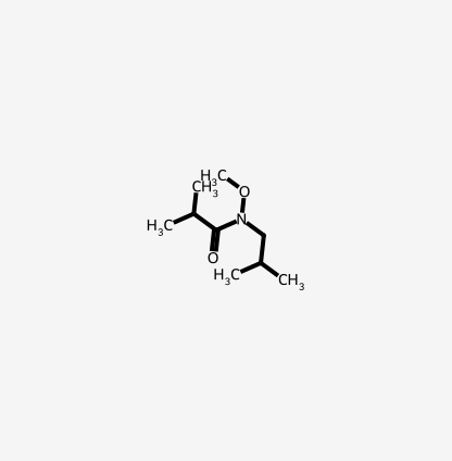 CON(CC(C)C)C(=O)C(C)C